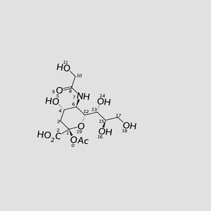 CC(=O)O[C@@]1(C(=O)O)C[C@H](O)[C@@H](NC(=O)CO)[C@H]([C@H](O)[C@H](O)CO)O1